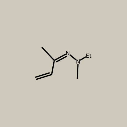 C=C/C(C)=N\N(C)CC